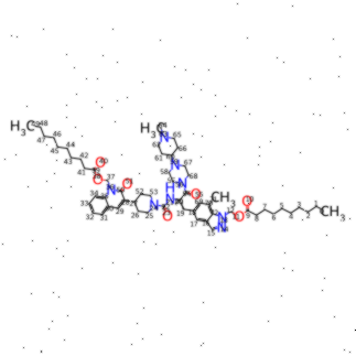 CCCCCCCCCC(=O)OCn1ncc2cc(C[C@@H](NC(=O)N3CCC(c4cc5ccccc5n(COC(=O)CCCCCCCCC)c4=O)CC3)C(=O)N3CCN(C4CCN(C)CC4)CC3)cc(C)c21